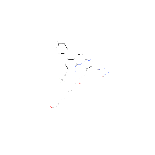 Cc1ccc(-c2cc(C(F)(F)C(F)(F)F)nc3c2ccc2nc(-c4nnco4)c(COC(=O)CCCCCCC(=O)O)n23)cc1